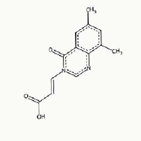 Cc1cc(C)c2ncn(C=CC(=O)O)c(=O)c2c1